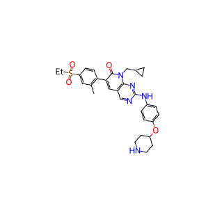 CCS(=O)(=O)c1ccc(-c2cc3cnc(Nc4ccc(OC5CCNCC5)cc4)nc3n(CC3CC3)c2=O)c(C)c1